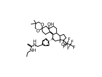 C=C(NCC)NCc1ccc([C@H]2CC3(C)C(CCC3(O)C(F)(F)C(F)(F)F)C3CCC4(O)CC5(CCC4=C32)OCC(C)(C)CO5)cc1